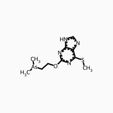 CSc1nc(OCC[As](C)C)nc2[nH]cnc12